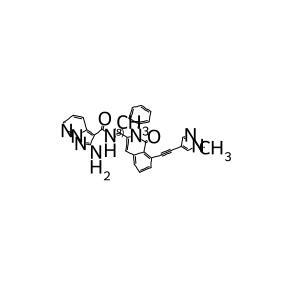 C[C@H](NC(=O)c1c(N)nn2ncccc12)c1cc2cccc(C#Cc3cnn(C)c3)c2c(=O)n1-c1ccccc1